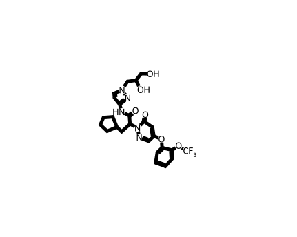 O=C(Nc1ccn(CC(O)CO)n1)C(CC1CCCC1)n1ncc(Oc2ccccc2OC(F)(F)F)cc1=O